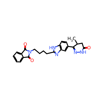 CC1CC(=O)NN=C1c1ccc2[nH]c(CCCCN3C(=O)c4ccccc4C3=O)nc2c1